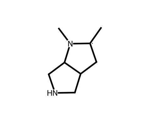 C[C]1CC2CNCC2N1C